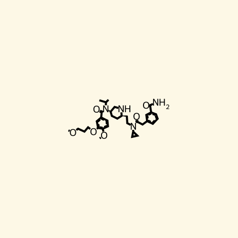 COCCCOc1cc(C(=O)N(C(C)C)[C@@H]2CC[C@H](CCN(C(=O)Cc3cccc(C(N)=O)c3)C3CC3)NC2)ccc1OC